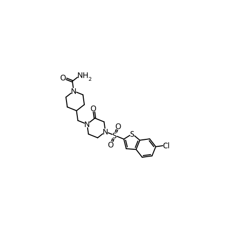 NC(=O)N1CCC(CN2CCN(S(=O)(=O)c3cc4ccc(Cl)cc4s3)CC2=O)CC1